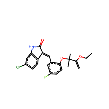 C=C(OCC)C(C)(C)Oc1ccc(F)cc1/C=C1/C(=O)Nc2cc(Cl)ccc21